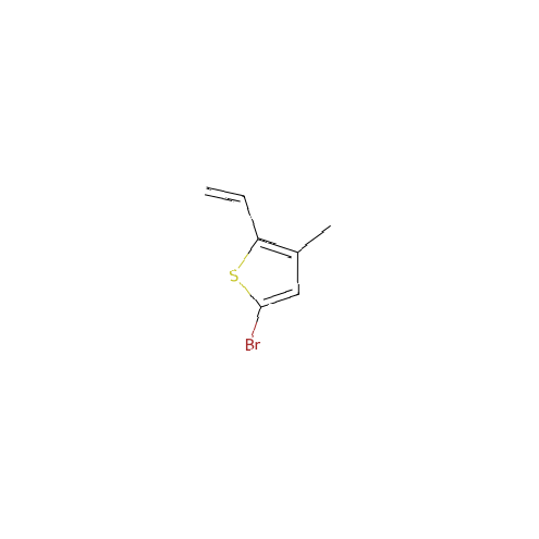 C=Cc1sc(Br)cc1C